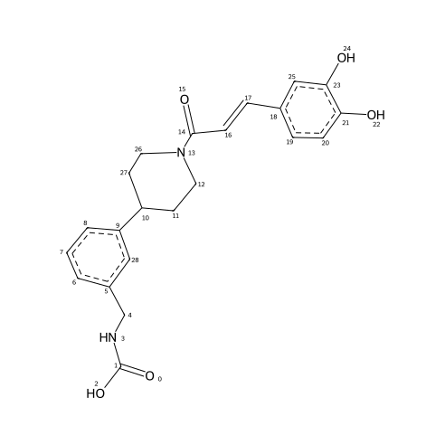 O=C(O)NCc1cccc(C2CCN(C(=O)C=Cc3ccc(O)c(O)c3)CC2)c1